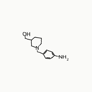 Nc1ccc(CN2CCCC(CO)C2)cc1